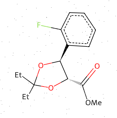 CCC1(CC)O[C@@H](C(=O)OC)[C@H](c2ccccc2F)O1